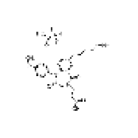 COc1ccc(N2C(=O)CN(CCC(=O)O)C(=O)c3cc(CCCCCN)ccc32)cc1.O=C(O)C(F)(F)F